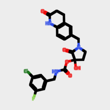 O=C1CCc2cc(CN3CCC(O)(OC(=O)NCc4cc(F)cc(Cl)c4)C3=O)ccc2N1